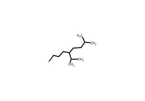 CC(C)CCC(CCCI)C(C)C